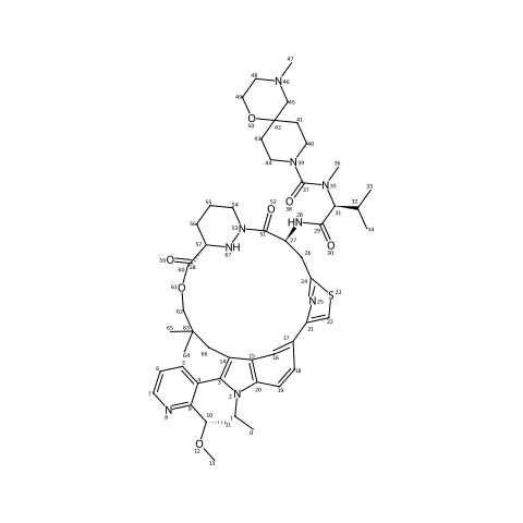 CCn1c(-c2cccnc2[C@H](C)OC)c2c3cc(ccc31)-c1csc(n1)C[C@H](NC(=O)[C@H](C(C)C)N(C)C(=O)N1CCC3(CC1)CN(C)CCO3)C(=O)N1CCC[C@](C=O)(COCC(C)(C)C2)N1